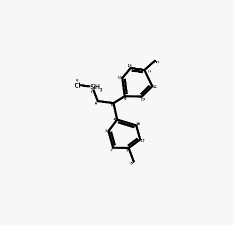 Cc1ccc(C(C[SiH2]Cl)c2ccc(C)cc2)cc1